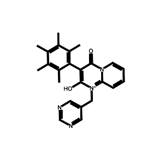 Cc1c(C)c(C)c(-c2c(O)[n+](Cc3cncnc3)c3ccccn3c2=O)c(C)c1C